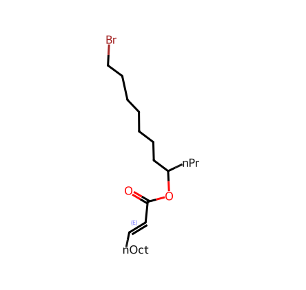 CCCCCCCC/C=C/C(=O)OC(CCC)CCCCCCCBr